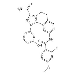 COc1ccc(C(=O)Nc2ccc3c(c2)-c2c(c(C(N)=O)nn2-c2cccc(O)c2)CC3)c(Cl)c1